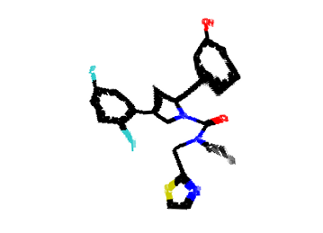 CN(Cc1nccs1)C(=O)N1CC(c2cc(F)ccc2F)=CC1c1cccc(O)c1